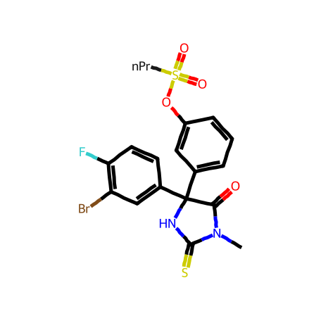 CCCS(=O)(=O)Oc1cccc(C2(c3ccc(F)c(Br)c3)NC(=S)N(C)C2=O)c1